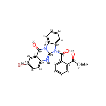 COC(=O)c1ccccc1C(=O)n1c2ccccc2n2c(=O)c3cc(Br)ccc3nc12